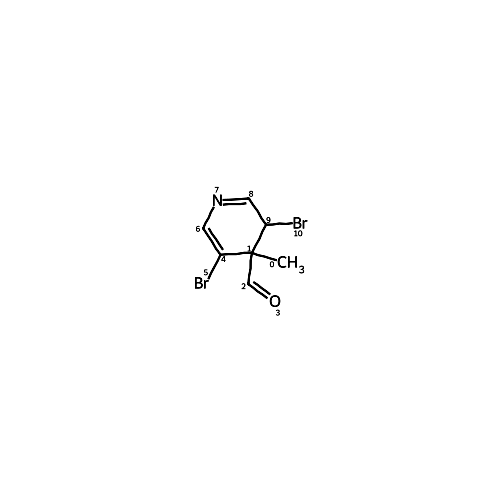 CC1(C=O)C(Br)=CN=CC1Br